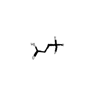 O=C(S)CCC(F)(F)F